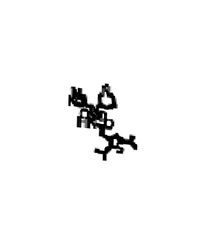 CC(C)c1cc(CC(=O)NS(=O)(=O)N(c2cnn(C)c2)C2CCCN(C)C2)c(C(C)C)s1